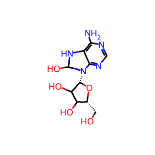 Nc1ncnc2c1NC(O)N2[C@@H]1O[C@H](CO)C(O)C1O